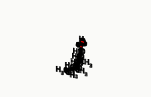 CN(C)CCCNC(=O)CCN(C)C(=O)c1cc(NC(=O)c2nc(NC(=O)CCNC(=O)CCCC[PH](Cc3ccccc3)(c3ccccc3)c3ccccc3)cn2C)cn1C